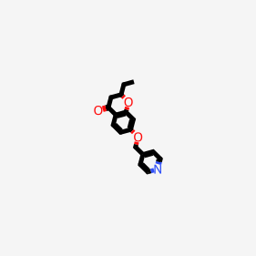 CCC1CC(=O)c2ccc(OCc3ccncc3)cc2O1